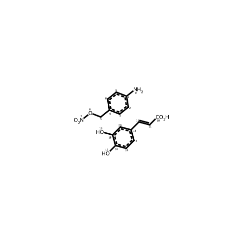 Nc1ccc(CO[N+](=O)[O-])cc1.O=C(O)C=Cc1ccc(O)c(O)c1